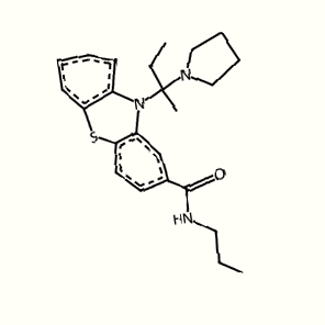 CCCNC(=O)c1ccc2c(c1)N(C(C)(CC)N1CCCC1)c1ccccc1S2